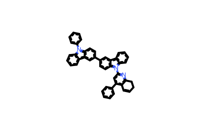 C1=Cc2c(-c3ccccc3)cc(-n3c4ccccc4c4cc(-c5ccc6c(c5)c5ccccc5n6-c5ccccc5)ccc43)nc2CC1